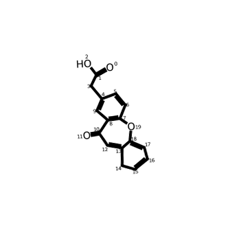 O=C(O)Cc1ccc2c(c1)C(=O)C=C1CC=CC=C1O2